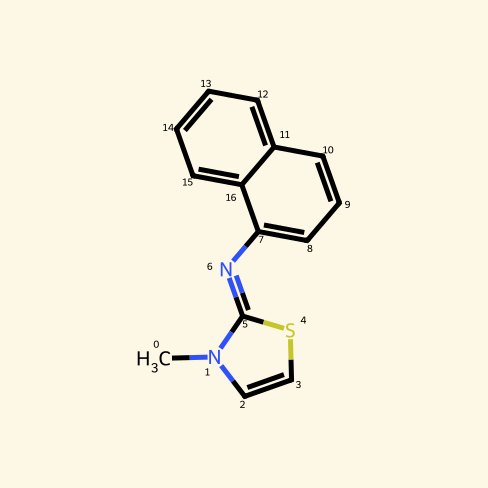 Cn1ccsc1=Nc1cccc2ccccc12